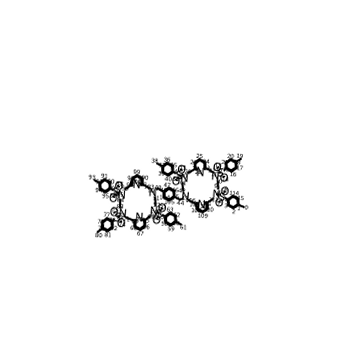 Cc1ccc(S(=O)(=O)N2CCN(S(=O)(=O)c3ccc(C)cc3)Cc3cccc(n3)CN(S(=O)(=O)c3ccc(C)cc3)CCN(Cc3ccc(CN4CCN(S(=O)(=O)c5ccc(C)cc5)Cc5cccc(n5)CN(S(=O)(=O)c5ccc(C)cc5)CCN(S(=O)(=O)c5ccc(C)cc5)Cc5cccc(n5)C4)cc3)Cc3cccc(n3)C2)cc1